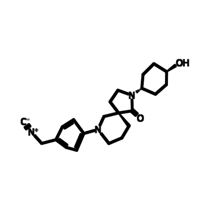 [C-]#[N+]Cc1ccc(N2CCC[C@]3(CCN([C@H]4CC[C@H](O)CC4)C3=O)C2)cc1